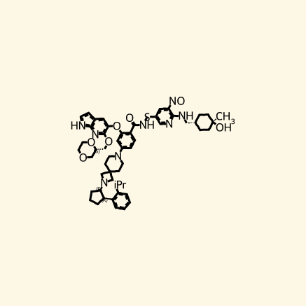 CC(C)c1ccccc1[C@H]1CCC[C@H]1N1CC2(CCN(c3ccc(C(=O)NSc4cnc(NC[C@H]5CC[C@](C)(O)CC5)c(N=O)c4)c(Oc4cc5cc[nH]c5nc4OC[C@@H]4COCCO4)c3)CC2)C1